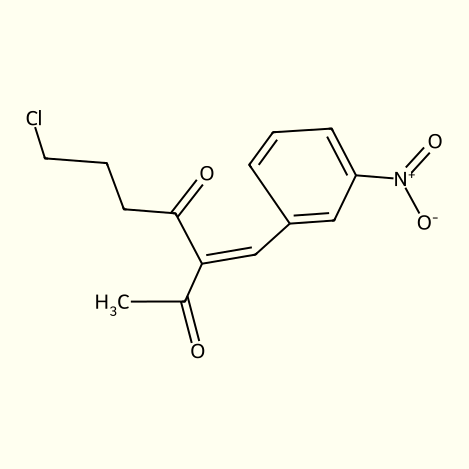 CC(=O)C(=Cc1cccc([N+](=O)[O-])c1)C(=O)CCCCl